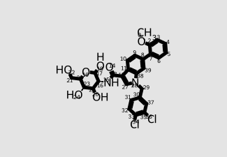 COc1ccccc1-c1ccc2c(C(=O)N[C@H]3C(O)OC(CO)[C@@H](O)C3O)cn(Cc3ccc(Cl)c(Cl)c3)c2c1